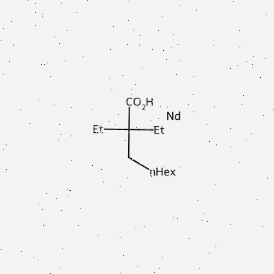 CCCCCCCC(CC)(CC)C(=O)O.[Nd]